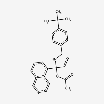 CC(=O)OC(C=O)(NCc1ccc(C(C)(C)C)cc1)c1cccc2cnccc12